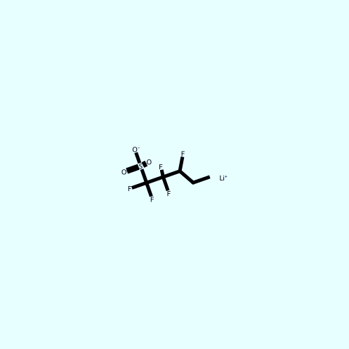 CCC(F)C(F)(F)C(F)(F)S(=O)(=O)[O-].[Li+]